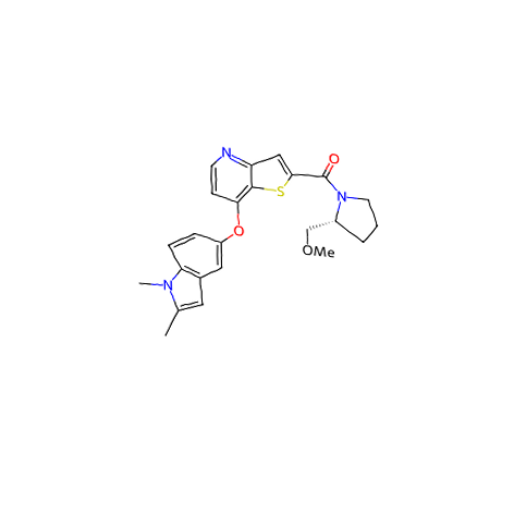 COC[C@H]1CCCN1C(=O)c1cc2nccc(Oc3ccc4c(c3)cc(C)n4C)c2s1